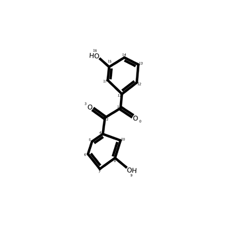 O=C(C(=O)c1cccc(O)c1)c1cccc(O)c1